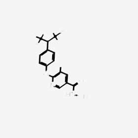 O=C(NO)c1cnc(Oc2ccc(C(C(F)(F)F)C(F)(F)F)cc2)c(F)c1